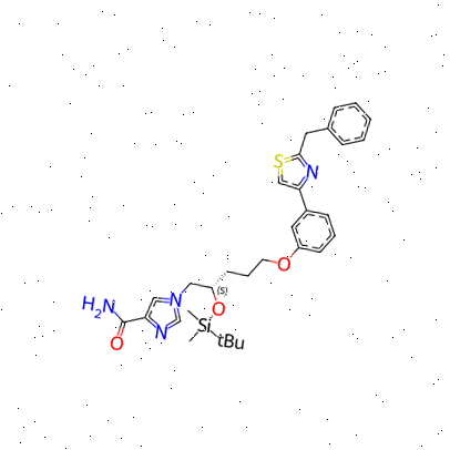 CC(C)(C)[Si](C)(C)O[C@@H](CCCOc1cccc(-c2csc(Cc3ccccc3)n2)c1)Cn1cnc(C(N)=O)c1